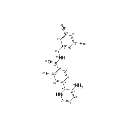 NC1=NC=CNC1c1ccc(C(=O)NCc2cc(F)cc(Br)c2)c(F)c1